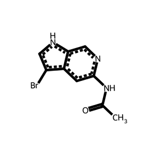 CC(=O)Nc1cc2c(Br)c[nH]c2cn1